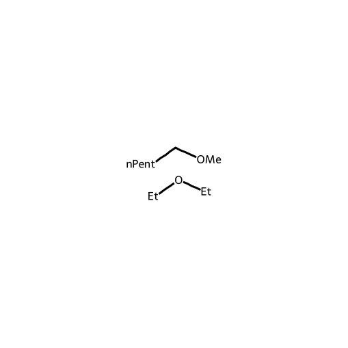 CCCCCCOC.CCOCC